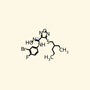 CCCC(CC)CSc1nonc1/C(=N/O)Nc1ccc(F)c(Br)c1